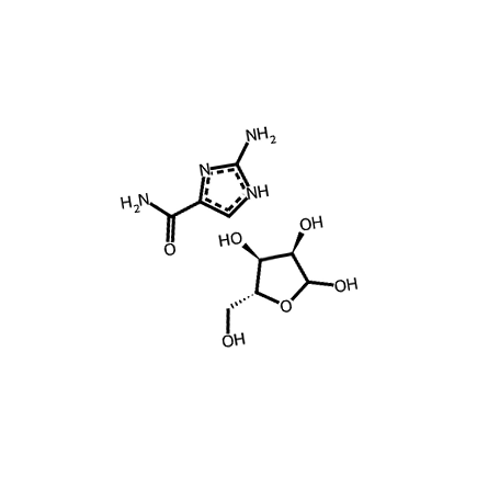 NC(=O)c1c[nH]c(N)n1.OC[C@H]1OC(O)[C@H](O)[C@@H]1O